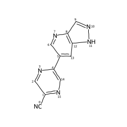 N#Cc1cnc(-c2cnc3cn[nH]c3c2)cn1